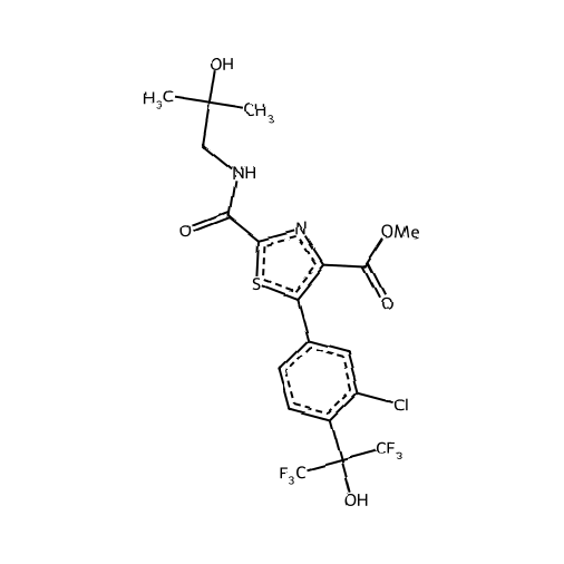 COC(=O)c1nc(C(=O)NCC(C)(C)O)sc1-c1ccc(C(O)(C(F)(F)F)C(F)(F)F)c(Cl)c1